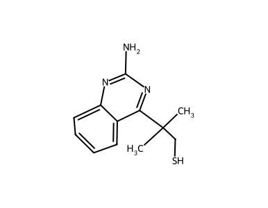 CC(C)(CS)c1nc(N)nc2ccccc12